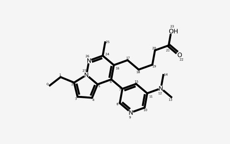 CCc1ccc2c(-c3cncc(N(C)C)c3)c(CCCCC(=O)O)c(C)nn12